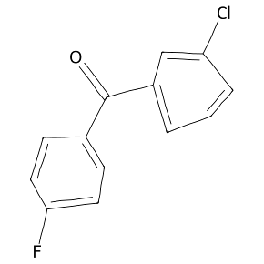 O=C(c1ccc(F)cc1)c1cccc(Cl)c1